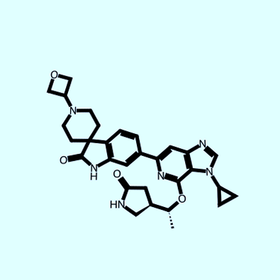 C[C@@H](Oc1nc(-c2ccc3c(c2)NC(=O)C32CCN(C3COC3)CC2)cc2ncn(C3CC3)c12)[C@H]1CNC(=O)C1